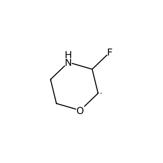 FC1[CH]OCCN1